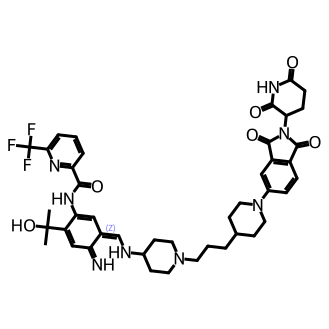 CC(C)(O)C1=CC(=N)/C(=C\NC2CCN(CCCC3CCN(c4ccc5c(c4)C(=O)N(C4CCC(=O)NC4=O)C5=O)CC3)CC2)C=C1NC(=O)c1cccc(C(F)(F)F)n1